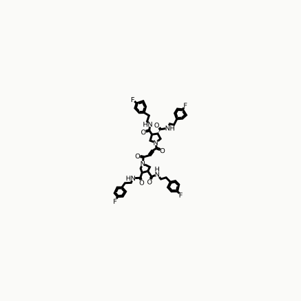 O=C(NCCc1ccc(F)cc1)C1CN(C(=O)C#CC(=O)N2CC(C(=O)NCCc3ccc(F)cc3)[C@H](C(=O)NCCc3ccc(F)cc3)C2)CC1C(=O)NCCc1ccc(F)cc1